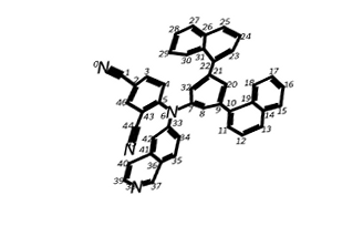 N#Cc1ccc(N(c2cc(-c3cccc4ccccc34)cc(-c3cccc4ccccc34)c2)c2ccc3cnccc3c2)c(C#N)c1